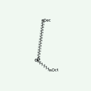 CCCCCCCCC=CCCCCCCCCCC(=O)OCCCCCCCCCCCCCCCCCCCCCCCCCCCCCCCCCCCCCC